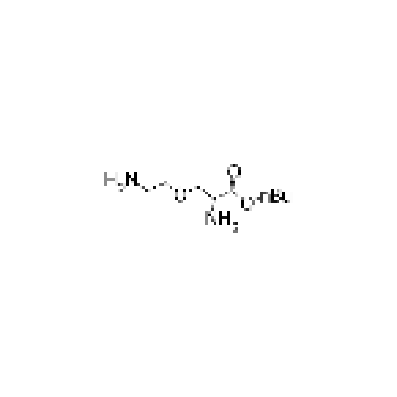 CCCCOC(=O)C(N)COCCN